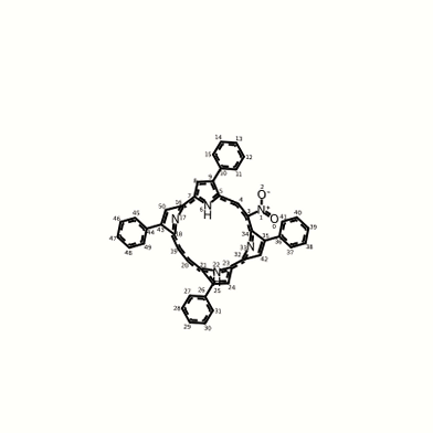 O=[N+]([O-])c1cc2[nH]c(cc2-c2ccccc2)c2nc(ccc3[nH]c(cc3-c3ccccc3)c3nc1C(c1ccccc1)=C3)C(c1ccccc1)=C2